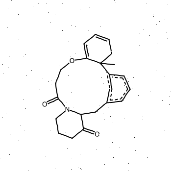 CC12CC=CC=C1OCCC(=O)N1CCCC(=O)C1Cc1cccc2c1